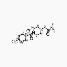 CN(C)C(=O)CC1CCN(S(=O)(=O)c2ccc(Cl)nc2)CC1